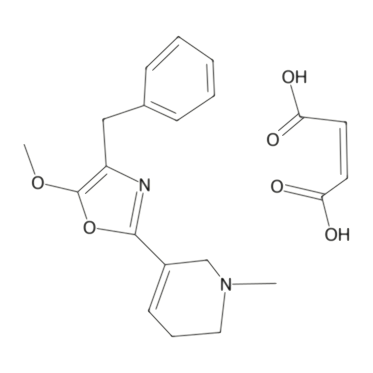 COc1oc(C2=CCCN(C)C2)nc1Cc1ccccc1.O=C(O)/C=C\C(=O)O